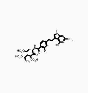 Nc1nc(O)c2c(CCc3ccc(C(=O)N[C@@H](CCC(=O)O)C(=O)C(C[C@H](N)C(=O)O)C(=O)O)c(Cl)c3)c[nH]c2n1